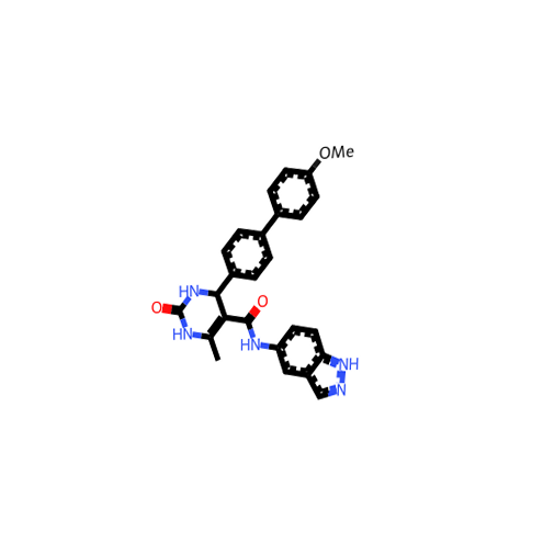 COc1ccc(-c2ccc(C3NC(=O)NC(C)=C3C(=O)Nc3ccc4[nH]ncc4c3)cc2)cc1